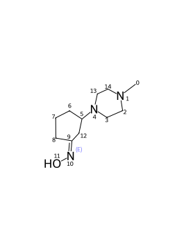 CN1CCN(C2CCC/C(=N\O)C2)CC1